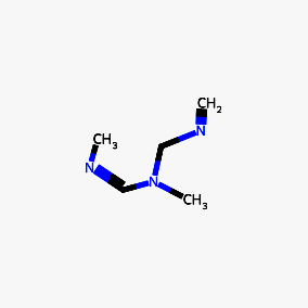 C=NCN(C)/C=N\C